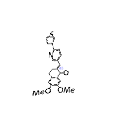 COc1cc2c(cc1OC)C(=O)/C(=C/c1ccc(-c3ccsc3)nc1)CC2